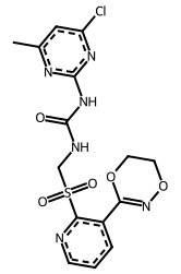 Cc1cc(Cl)nc(NC(=O)NCS(=O)(=O)c2ncccc2C2=NOCCO2)n1